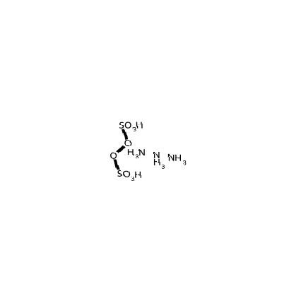 N.N.N.O=S(=O)(O)OOS(=O)(=O)O